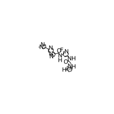 Cn1cc(-c2cn3ncc(C(=O)Nc4cc(NC(=O)CN5C[C@H]6CC[C@@H]5C6)cnc4F)c3cn2)cn1